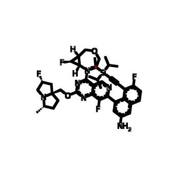 CC(C)[Si](C#Cc1c(F)ccc2cc(N)cc(-c3ncc4c(N5CCOC[C@H]6[C@H](F)[C@H]65)nc(OC[C@@]56CC[C@H](C)N5C[C@H](F)C6)nc4c3F)c12)(C(C)C)C(C)C